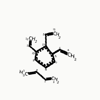 C=CC=C.C=Cc1cccc(C=C)c1C=C